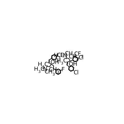 CC(=Cc1ccc(Cl)cc1)C(O)(CCc1cccc(F)c1)C(C)CN(C)C.CC(=Cc1ccc(Cl)cc1)C(O)(c1ccc(Cl)c(C(F)(F)F)c1)C(C)CN(C)C